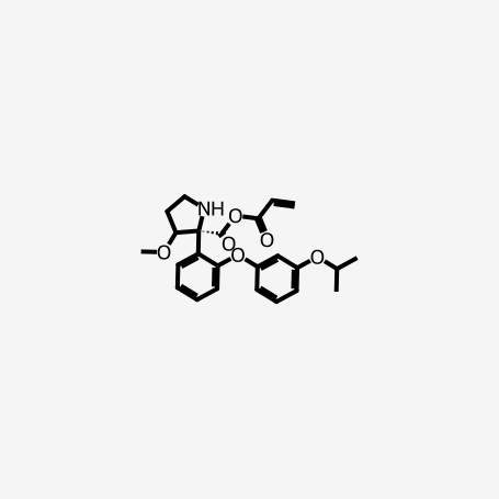 C=CC(=O)OC(=O)[C@@]1(c2ccccc2Oc2cccc(OC(C)C)c2)NCCC1OC